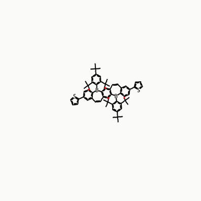 CC(C)(C)c1cc(C(C)(C)C)c(B2c3ccc(-c4cccs4)cc3C=Cc3cc4c(cc32)C=Cc2cc(-c3cccs3)ccc2B4c2c(C(C)(C)C)cc(C(C)(C)C)cc2C(C)(C)C)c(C(C)(C)C)c1